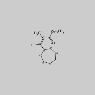 COC(=O)C(C)=C(F)C1CCCCCC1